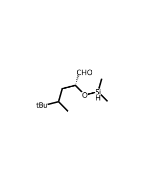 CC(C[C@H](C=O)O[SiH](C)C)C(C)(C)C